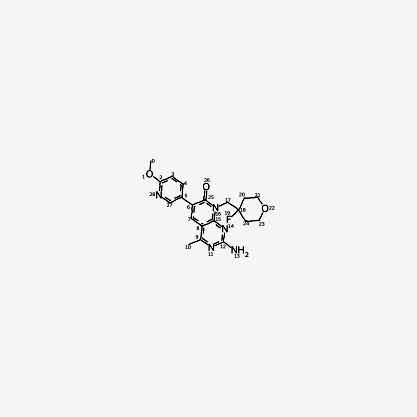 COc1ccc(-c2cc3c(C)nc(N)nc3n(CC3(F)CCOCC3)c2=O)cn1